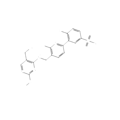 CSc1ncc(CO)c(NCc2ccc(-c3cc(S(N)(=O)=O)ccc3F)nc2C)n1